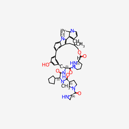 CCn1c(-c2cccnc2C(C)C)c2c3cc(ccc31)-c1cc(O)cc(c1)C[C@H](NC(=O)[C@H](C1CCCC1)N(C)C(=O)[C@H]1CCN(C(=O)[C@H]3CN3)C1)C(=O)N1CCC[C@H](N1)C(=O)OCC(C)(C)C2